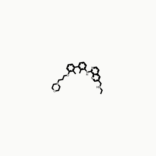 CCNCc1cnc2c(Nc3cccc(-c4cccc(OCCCN5CCOCC5)c4C)c3C)nccc2c1